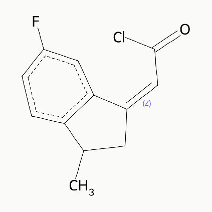 CC1C/C(=C/C(=O)Cl)c2cc(F)ccc21